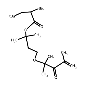 C=C(C)C(=O)C(C)(C)OCCC(C)(C)OC(=O)C(CC(C)(C)C)C(C)(C)C